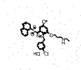 CCNCCCOc1cc(OC)cc2c(S(=O)(=O)c3cccc4ccccc34)nn(Cc3cccc(Cl)c3)c12.Cl